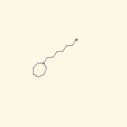 BrCCCCCCN1CCCCCC1